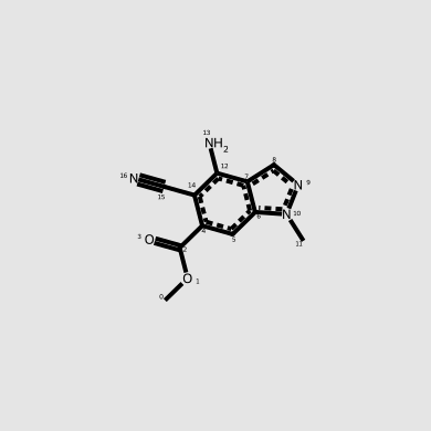 COC(=O)c1cc2c(cnn2C)c(N)c1C#N